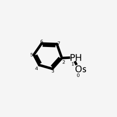 [Os][PH]c1ccccc1